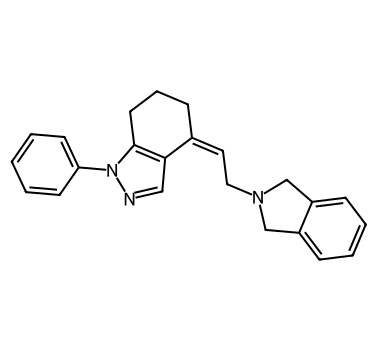 C(/CN1Cc2ccccc2C1)=C1\CCCc2c1cnn2-c1ccccc1